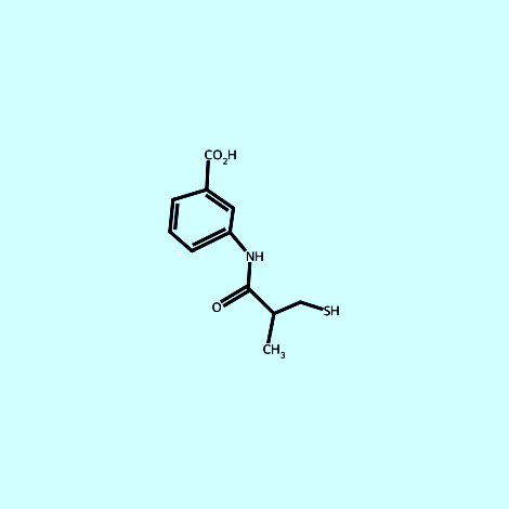 CC(CS)C(=O)Nc1cccc(C(=O)O)c1